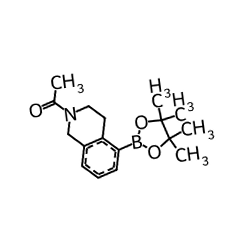 CC(=O)N1CCc2c(cccc2B2OC(C)(C)C(C)(C)O2)C1